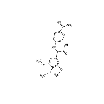 COc1cc(C(Nc2ccc(C(=N)N)cc2)C(=O)O)cc(OC)c1OC